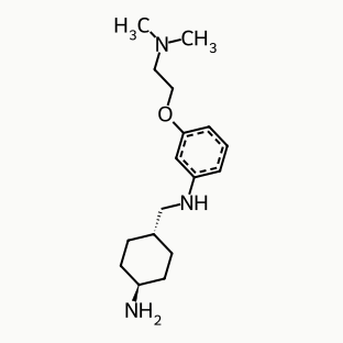 CN(C)CCOc1cccc(NC[C@H]2CC[C@H](N)CC2)c1